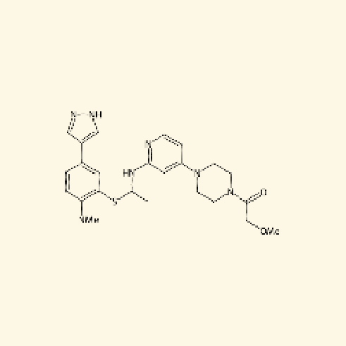 CNc1ccc(-c2cn[nH]c2)cc1SC(C)Nc1cc(N2CCN(C(=O)COC)CC2)ccn1